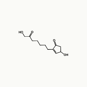 O=C(CO)CCCCCC1=CC(O)CC1=O